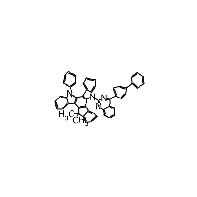 CC1(C)c2ccccc2-c2c1c1c3ccccc3n(-c3ccccc3)c1c1c3ccccc3n(-c3nc(-c4ccc(-c5ccccc5)cc4)c4ccccc4n3)c21